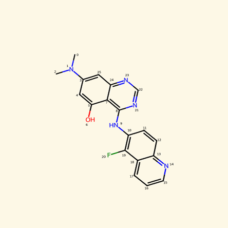 CN(C)c1cc(O)c2c(Nc3ccc4ncccc4c3F)ncnc2c1